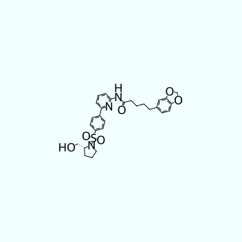 O=C(CCCCc1ccc2c(c1)OCO2)Nc1cccc(-c2ccc(S(=O)(=O)N3CCC[C@@H]3CO)cc2)n1